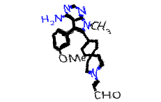 COc1cccc(-c2c(C3=CCC4(CC3)CCN(C=CC=O)CC4)n(C)c3ncnc(N)c23)c1